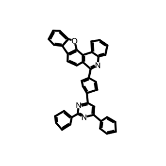 c1ccc(-c2cc(-c3ccc(-c4nc5ccccc5c5c4ccc4c6ccccc6oc45)cc3)nc(-c3ccccc3)n2)cc1